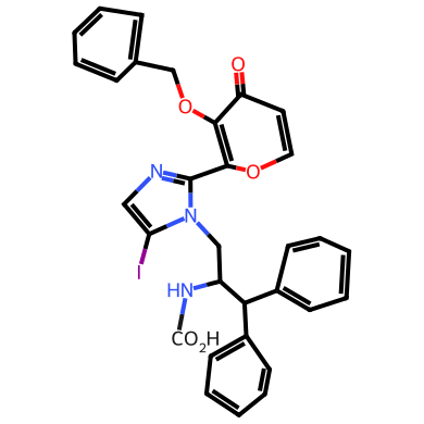 O=C(O)NC(Cn1c(I)cnc1-c1occc(=O)c1OCc1ccccc1)C(c1ccccc1)c1ccccc1